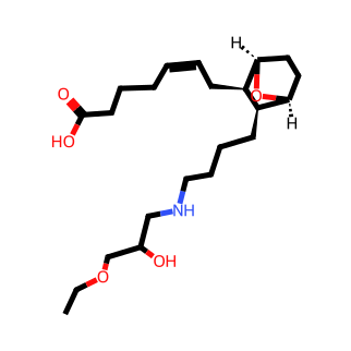 CCOCC(O)CNCCCC[C@H]1[C@@H](C/C=C\CCCC(=O)O)[C@H]2CC[C@@H]1O2